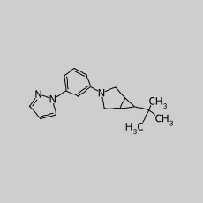 CC(C)(C)C1C2CN(c3cccc(-n4cccn4)c3)CC21